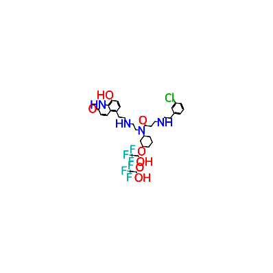 O=C(CCNCCc1cccc(Cl)c1)N(CCNCCc1ccc(O)c2[nH]c(=O)ccc12)C1CCCCC1.O=C(O)C(F)(F)F.O=C(O)C(F)(F)F